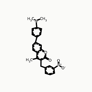 Cc1c(Cc2cccc([N+](=O)[O-])c2)c(=O)oc2cc(-c3ccc(N(C)C)cc3)ccc12